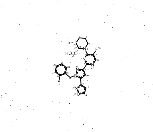 C[C@@H]1CCCN(c2nc(-c3cc(-c4ccon4)n(Cc4ccccc4F)n3)ncc2F)[C@@H]1C(=O)O